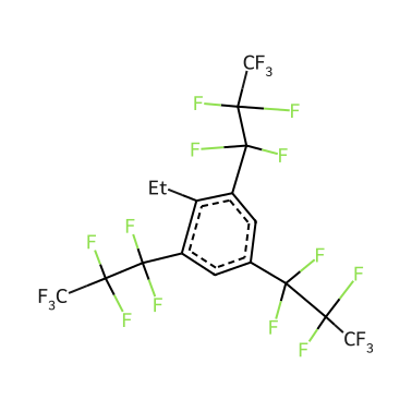 [CH2]Cc1c(C(F)(F)C(F)(F)C(F)(F)F)cc(C(F)(F)C(F)(F)C(F)(F)F)cc1C(F)(F)C(F)(F)C(F)(F)F